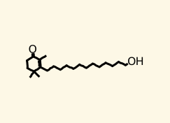 CC1=C(CCCCCCCCCCCCCO)C(C)(C)CCC1=O